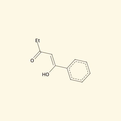 CCC(=O)C=C(O)c1ccccc1